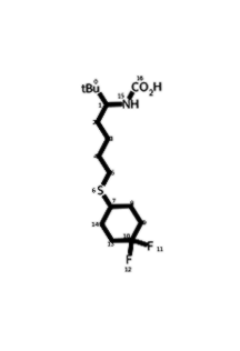 CC(C)(C)C(CCCCSC1CCC(F)(F)CC1)NC(=O)O